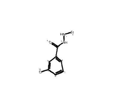 CCNNC(=O)c1cccc(Cl)c1